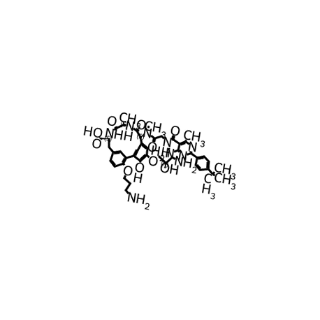 Cc1nc(-c2ccc(C(C)(C)C)cc2)nc(N)c1C(=O)NCC(=O)N(C)[C@@H]1C(=O)N[C@@H](C)C(=O)N[C@H](C(=O)O)Cc2ccc(OCCCN)c(c2)-c2cc1cc(OC[C@H](O)CN)c2O